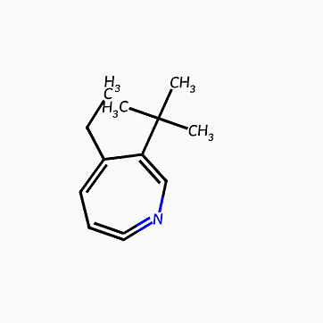 CCC1=CC=C=NC=C1C(C)(C)C